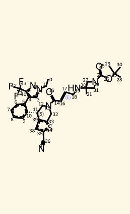 CCn1cc(-c2ccccc2[C@@H]2CN(C(=O)/C=C/CNC3(C)CN(C(=O)OC(C)(C)C)C3)Cc3sc(C#N)cc32)c(C(F)(F)F)n1